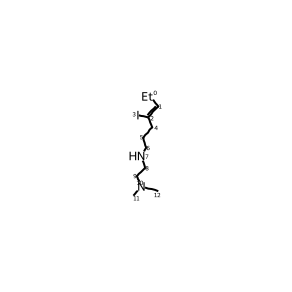 CC/C=C(\I)CCCNCCN(C)C